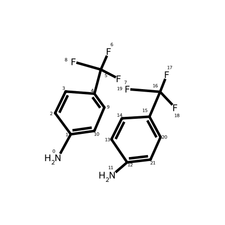 Nc1ccc(C(F)(F)F)cc1.Nc1ccc(C(F)(F)F)cc1